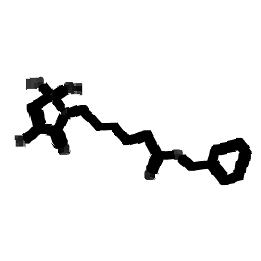 O=C(CCCCCN1C(=O)C(Br)=CS1(O)O)OCc1ccccc1